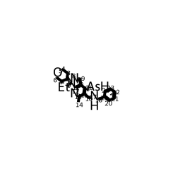 CC[N+]1(C2CCOCC2)N=Cc2c1nc(C)c(CNCc1ccccc1)c2[AsH2]